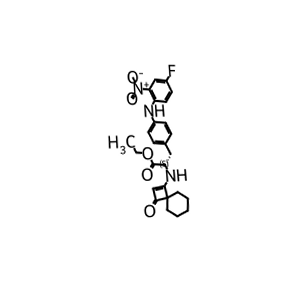 CCOC(=O)[C@H](Cc1ccc(Nc2ccc(F)cc2[N+](=O)[O-])cc1)NC1=CC(=O)C12CCCCC2